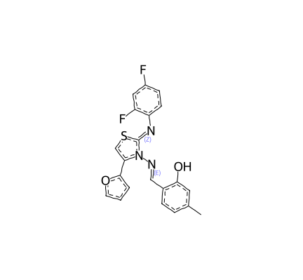 Cc1ccc(/C=N/n2c(-c3ccco3)cs/c2=N\c2ccc(F)cc2F)c(O)c1